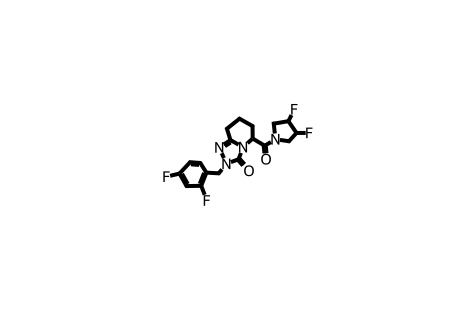 O=C(C1CCCc2nn(Cc3ccc(F)cc3F)c(=O)n21)N1CC(F)C(F)C1